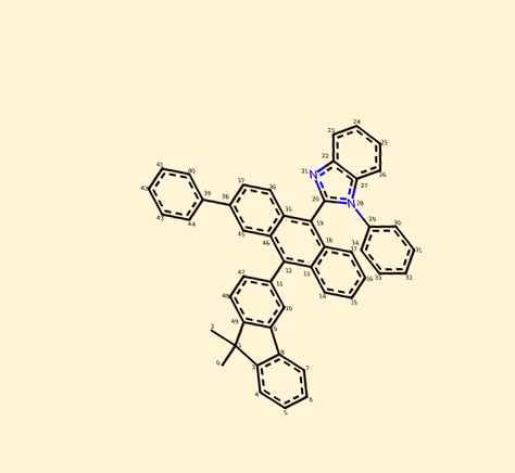 CC1(C)c2ccccc2-c2cc(-c3c4ccccc4c(-c4nc5ccccc5n4-c4ccccc4)c4ccc(-c5ccccc5)cc34)ccc21